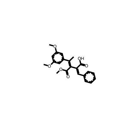 COC(=O)C(C(=Cc1ccccc1)C(=O)O)=C(C)c1cc(OC)cc(OC)c1